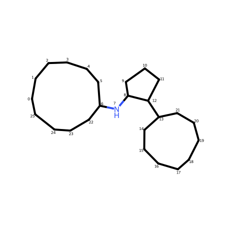 C1CCCCCC(NC2CCCC2C2CCCCCCCC2)CCCC1